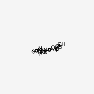 COc1ccc(-n2ncc(-c3nc(-c4ccc([C@H](O)CN5CCC[C@H](OC(=O)O)C5)cc4)no3)c2C(F)(F)F)cc1